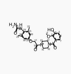 COc1c(O)cccc1C(=O)N1CCN(C(=O)COc2cc(C)c(NC(N)=O)c(C)c2)CC1